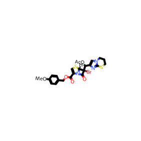 COc1ccc(COC(=O)C2=CS[C@H]3N2C(=O)C3(Br)C(OC(C)=O)c2cn3c(n2)SCCC3)cc1